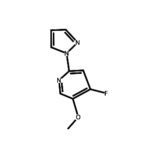 COc1cnc(-n2cccn2)cc1F